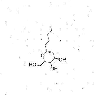 CCCCCC1=C[C@@H](O)[C@@H](O)[C@@H](CO)O1